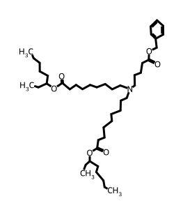 CCCCCC(CC)OC(=O)CCCCCCCCN(CCCCCCCCC(=O)OC(CC)CCCCC)CCCCC(=O)OCc1ccccc1